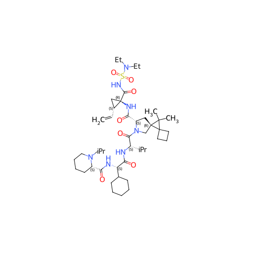 C=C[C@@H]1C[C@]1(NC(=O)[C@@H]1C[C@@]2(CN1C(=O)[C@@H](NC(=O)[C@@H](NC(=O)[C@@H]1CCCCN1C(C)C)C1CCCCC1)C(C)C)C(C)(C)C21CCC1)C(=O)NS(=O)(=O)N(CC)CC